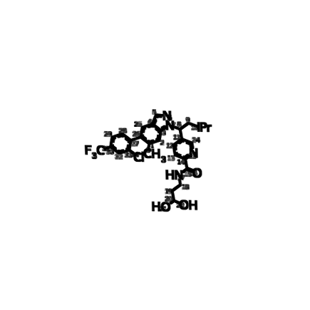 Cc1cc2c(cnn2C(CC(C)C)c2ccc(C(=O)NCCC(O)O)nc2)cc1-c1ccc(C(F)(F)F)cc1Cl